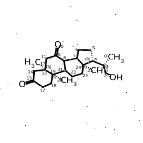 C[C@H](CO)[C@H]1CCC2C3C(=O)C[C@]4(C)CC(=O)CC[C@]4(C)C3CC[C@@]21C